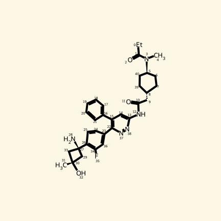 CCC(=O)N(C)[C@H]1CC[C@H](CC(=O)Nc2cc(-c3ccccc3)c(-c3ccc([C@]4(N)C[C@](C)(O)C4)c(F)c3)nn2)CC1